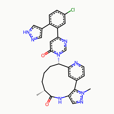 C[C@@H]1CCC[C@H](n2cnc(-c3cc(Cl)ccc3-c3cn[nH]c3)cc2=O)c2cc(ccn2)-c2c(cnn2C)NC1=O